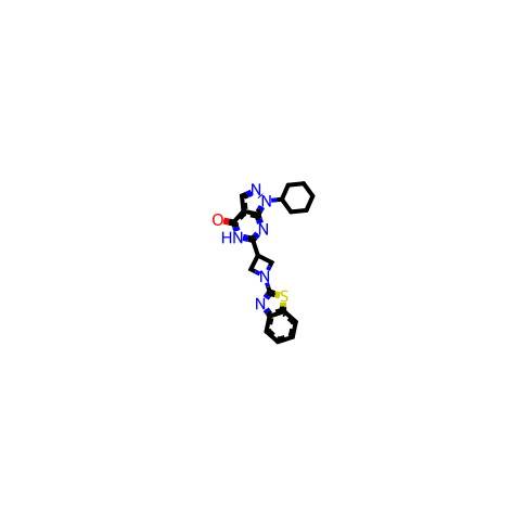 O=c1[nH]c(C2CN(c3nc4ccccc4s3)C2)nc2c1cnn2C1CCCCC1